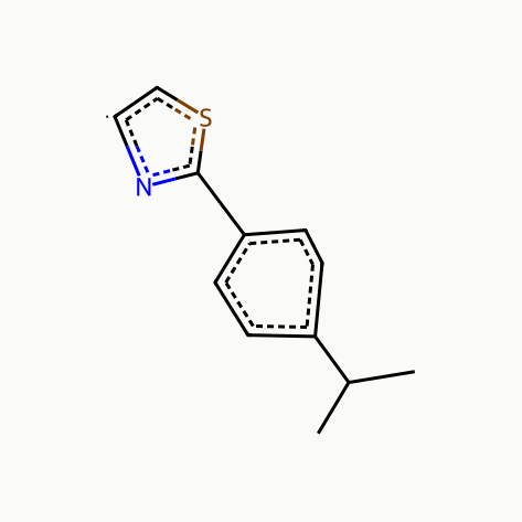 CC(C)c1ccc(-c2n[c]cs2)cc1